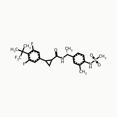 Cc1cc([C@@H](C)NC(=O)C2CC2c2cc(F)c(C(C)(C)C(F)(F)F)c(F)c2)ccc1NS(C)(=O)=O